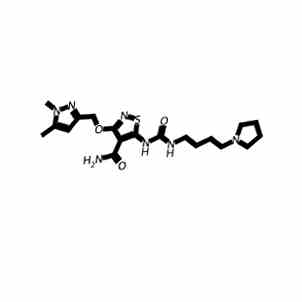 Cc1cc(COc2nsc(NC(=O)NCCCCN3CCCC3)c2C(N)=O)nn1C